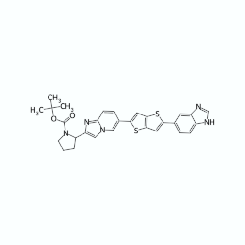 CC(C)(C)OC(=O)N1CCCC1c1cn2cc(-c3cc4sc(-c5ccc6[nH]cnc6c5)cc4s3)ccc2n1